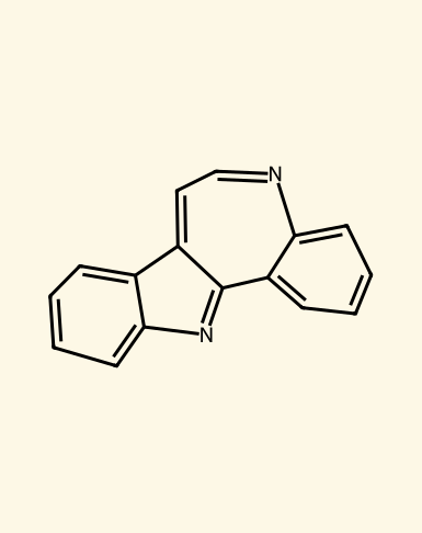 c1ccc2c3ccnc4ccccc4c-3nc2c1